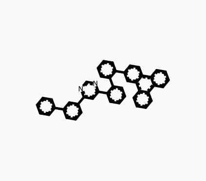 c1ccc(-c2cccc(-c3cc(-c4ccccc4-c4ccccc4-c4ccc5c6ccccc6c6ccccc6c5c4)ncn3)c2)cc1